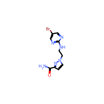 NC(=O)c1[c]cn(CCNc2ncc(Br)cn2)n1